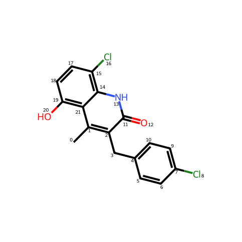 Cc1c(Cc2ccc(Cl)cc2)c(=O)[nH]c2c(Cl)ccc(O)c12